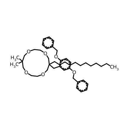 CCCCCCCCCCCCC1(Cc2cc(OCc3ccccc3)ccc2OCc2ccccc2)COCCOCC(C)(C)COCCOC1